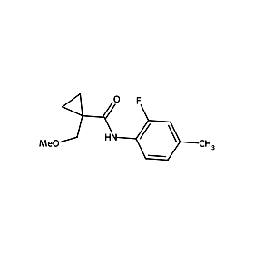 COCC1(C(=O)Nc2ccc(C)cc2F)CC1